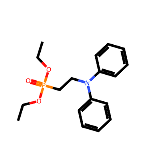 CCOP(=O)(CCN(c1ccccc1)c1ccccc1)OCC